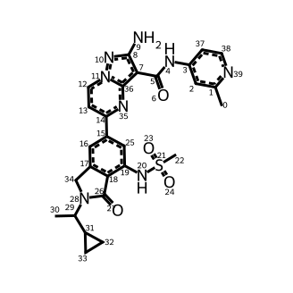 Cc1cc(NC(=O)c2c(N)nn3ccc(-c4cc5c(c(NS(C)(=O)=O)c4)C(=O)N(C(C)C4CC4)C5)nc23)ccn1